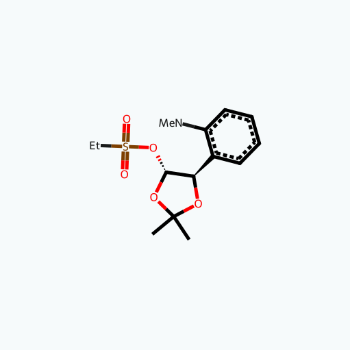 CCS(=O)(=O)O[C@H]1OC(C)(C)O[C@@H]1c1ccccc1NC